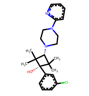 CC1(C)[C@H](N2CCN(c3ccccn3)CC2)C(C)(C)[C@@]1(O)c1cccc(Cl)c1